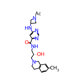 CC(=O)N1CC(Nc2cc(C(=O)NC[C@H](O)CN3CCc4ccc(C)cc4C3)ncn2)C1